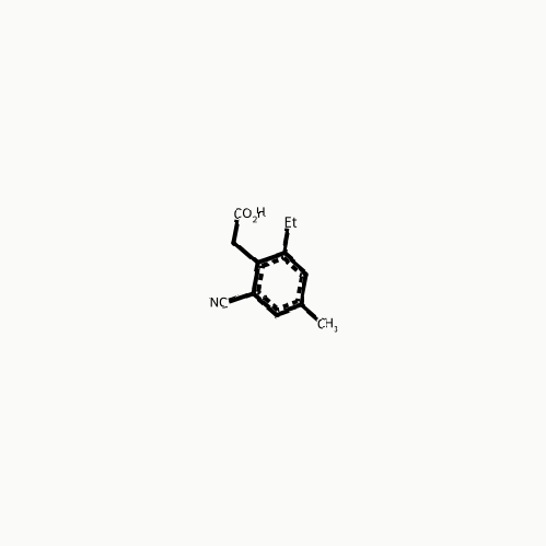 CCc1cc(C)cc(C#N)c1CC(=O)O